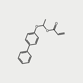 C=CC(=O)OC(C)Oc1ccc(-c2ccccc2)cc1